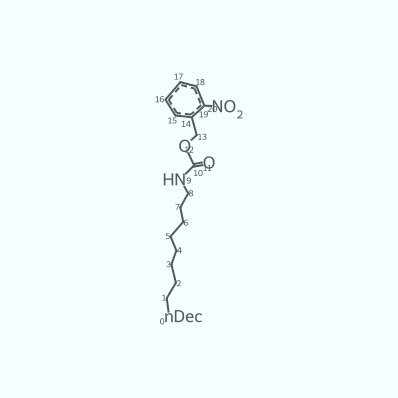 CCCCCCCCCCCCCCCCCCNC(=O)OCc1ccccc1[N+](=O)[O-]